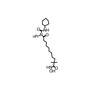 CCCN(C(=O)CCCCCCCCC(C)(C)C(=O)NO)C(=O)NC1CCCCC1